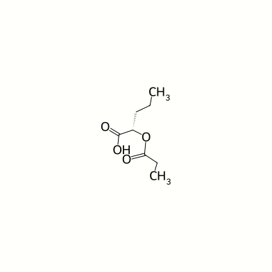 CCC[C@H](OC(=O)CC)C(=O)O